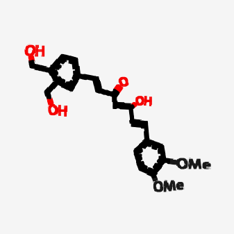 COc1ccc(/C=C/C(O)=C/C(=O)/C=C/c2ccc(CO)c(CO)c2)cc1OC